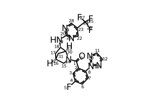 O=C(c1cc(F)ccc1-n1nccn1)N1C[C@H]2C[C@@H](Nc3ncc(C(F)(F)F)cn3)[C@@H]1C2